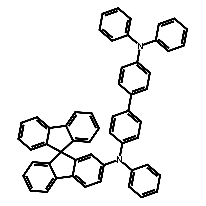 c1ccc(N(c2ccccc2)c2ccc(-c3ccc(N(c4ccccc4)c4ccc5c(c4)C4(c6ccccc6-c6ccccc64)c4ccccc4-5)cc3)cc2)cc1